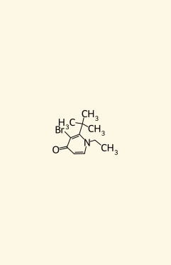 CCn1ccc(=O)c(Br)c1C(C)(C)C